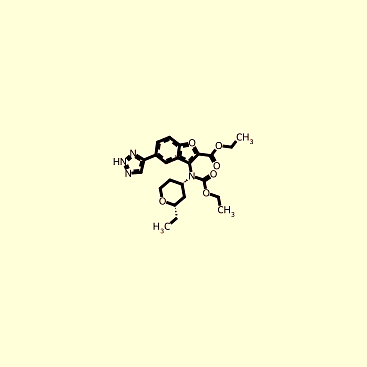 CCOC(=O)c1oc2ccc(-c3cn[nH]n3)cc2c1N(C(=O)OCC)[C@H]1CCO[C@@H](CC)C1